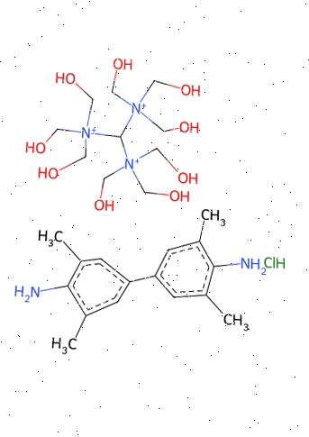 Cc1cc(-c2cc(C)c(N)c(C)c2)cc(C)c1N.Cl.OC[N+](CO)(CO)C([N+](CO)(CO)CO)[N+](CO)(CO)CO